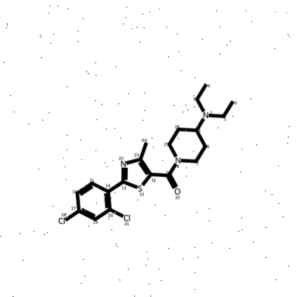 CCN(CC)C1CCN(C(=O)c2sc(-c3ccc(Cl)cc3Cl)nc2C)CC1